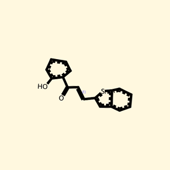 O=C(/C=C/c1cc2ccccc2s1)c1ccccc1O